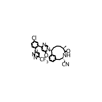 C[C@@H]1CCC[C@H](n2cnc(-c3cc(Cl)ccc3-n3cc(C(F)(F)F)nn3)cc2=O)c2cccc(c2)C[C@@H](CC#N)NC1=O